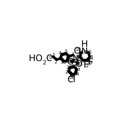 O=C(O)CCc1ccc(CN([C@@H]2CC(F)(F)CCNC2=O)S(=O)(=O)c2ccc(Cl)cc2)cc1